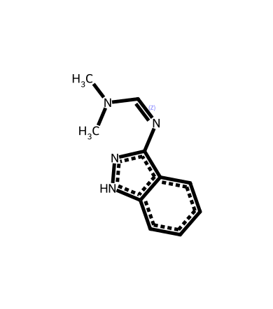 CN(C)/C=N\c1n[nH]c2ccccc12